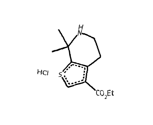 CCOC(=O)c1csc2c1CCNC2(C)C.Cl